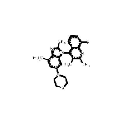 Cc1nc2c(F)cccc2c(-n2c(C)nc3c(C(=O)O)cc(N4CCOCC4)cc32)c1C